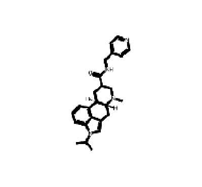 CC(C)n1cc2c3c(cccc31)[C@H]1CC(C(=O)NCc3ccncc3)CN(C)[C@@H]1C2